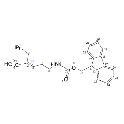 CC(C)C/C(=C\CCNC(=O)OCC1c2ccccc2-c2ccccc21)C(=O)O